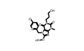 CCCOc1nc2c(c(=O)n(CCCO)c(=O)n2C)n1Cc1ccc(Cl)cn1